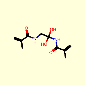 C=C(C)C(=O)NCC(O)(O)NC(=O)C(=C)C